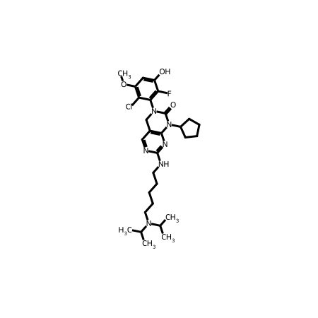 COc1cc(O)c(F)c(N2Cc3cnc(NCCCCCN(C(C)C)C(C)C)nc3N(C3CCCC3)C2=O)c1Cl